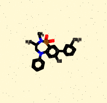 CC1CN(c2ccccc2)c2cc(C#N)c(-c3cccc(C(=O)O)c3)cc2S(=O)(=O)N1C